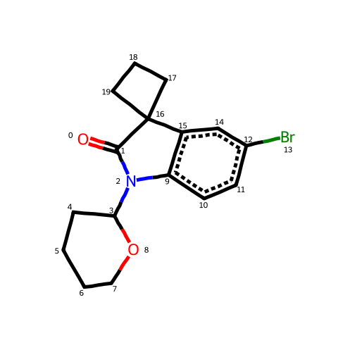 O=C1N(C2CCCCO2)c2ccc(Br)cc2C12CCC2